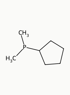 CP(C)C1CCCC1